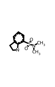 CN(C)S(=O)(=O)c1cccc2c1[N]CC2